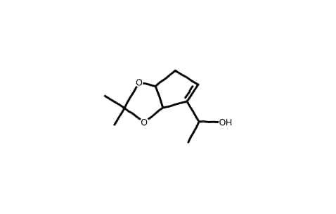 CC(O)C1=CCC2OC(C)(C)OC12